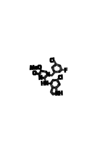 COc1cn(Cc2cc(F)cc(Cl)c2)c(Nc2cc(Cl)cc3[nH]ccc23)nc1=O